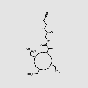 C#CCCNC(=O)CNC(=O)C(C)N1CCN(CC(=O)O)CCN(CC(=O)O)CCN(CC(=O)O)CC1.[Gd]